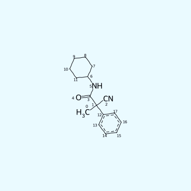 CC(C#N)(C(=O)NC1CCCCC1)c1ccccc1